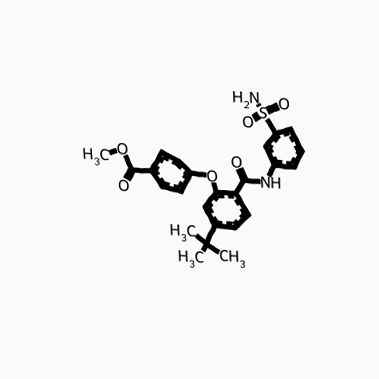 COC(=O)c1ccc(Oc2cc(C(C)(C)C)ccc2C(=O)Nc2cccc(S(N)(=O)=O)c2)cc1